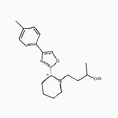 Cc1ccc(-c2coc([C@H]3CCCCN3CCC(C)C=O)n2)cc1